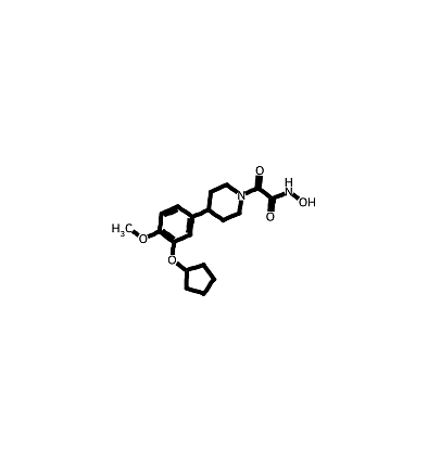 COc1ccc(C2CCN(C(=O)C(=O)NO)CC2)cc1OC1CCCC1